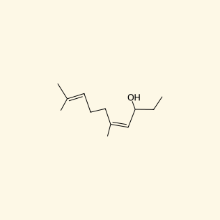 CCC(O)/C=C(/C)CCC=C(C)C